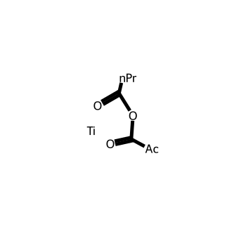 CCCC(=O)OC(=O)C(C)=O.[Ti]